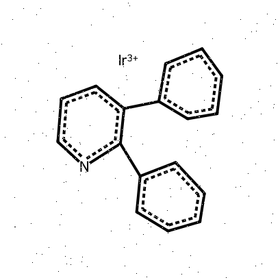 [Ir+3].c1ccc(-c2cccnc2-c2ccccc2)cc1